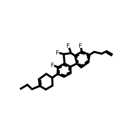 C=CCCc1ccc2c(c1F)C(F)C(F)c1c-2ccc(C2CC=C(CCC)CC2)c1F